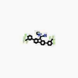 [C-]#[N+]C(C#N)=C1c2cc(-c3ccc(F)c(C(F)(F)F)c3)ccc2-c2ccc(-c3ccc(F)c(C(F)(F)F)c3)cc21